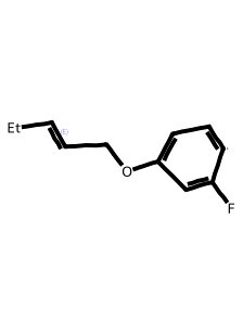 CC/C=C/COc1cc[c]c(F)c1